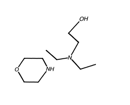 C1COCCN1.CCN(CC)CCO